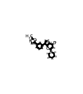 Cc1nnc(-c2cccc(-c3csc4c(=O)cc(N5CCCCC5)oc34)c2)o1